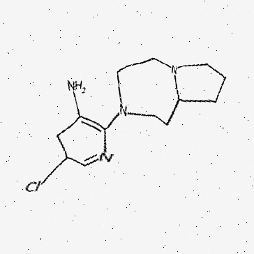 NC1=C(N2CCN3CCCC3C2)N=CC(Cl)C1